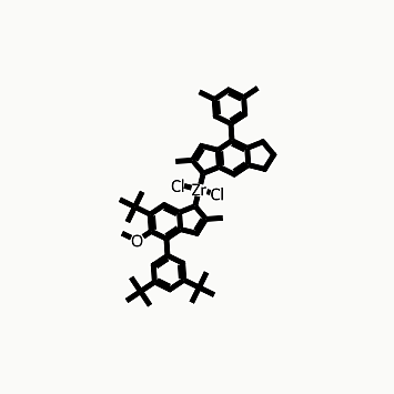 COc1c(C(C)(C)C)cc2c(c1-c1cc(C(C)(C)C)cc(C(C)(C)C)c1)C=C(C)[CH]2[Zr]([Cl])([Cl])[CH]1C(C)=Cc2c1cc1c(c2-c2cc(C)cc(C)c2)CCC1